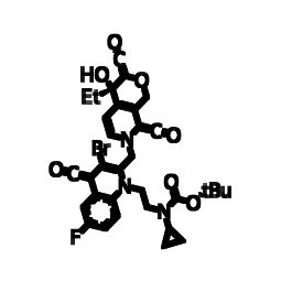 CC[C@@]1(O)C(=C=O)OCC2=C1C=CN(CC1=C(Br)C(=C=O)c3cc(F)ccc3N1CCN(C(=O)OC(C)(C)C)C1CC1)C2=C=O